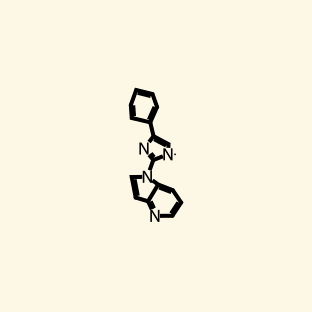 C1=C(c2ccccc2)N=C(n2ccc3ncccc32)[N]1